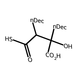 CCCCCCCCCCC(C(=O)S)C(O)(CCCCCCCCCC)C(=O)O